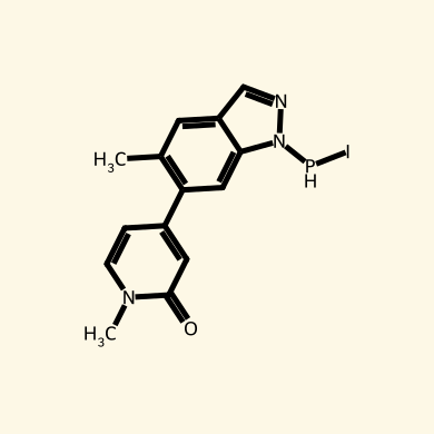 Cc1cc2cnn(PI)c2cc1-c1ccn(C)c(=O)c1